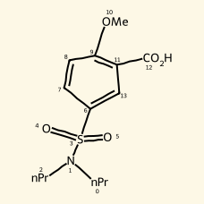 CCCN(CCC)S(=O)(=O)c1ccc(OC)c(C(=O)O)c1